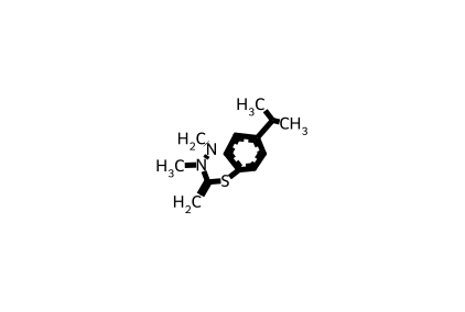 C=NN(C)C(=C)Sc1ccc(C(C)C)cc1